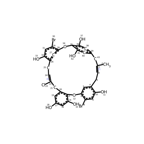 C/C1=C/Cc2cc(c(Br)cc2O)Oc2c(O)cc(O)cc2C/C(Cl)=C\Cc2cc(c(Br)cc2O)Oc2c(O)cc(cc2O)C1